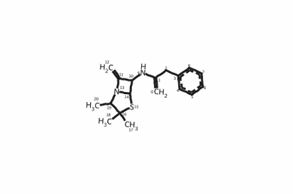 C=C(Cc1ccccc1)NC1C(=C)N2C1SC(C)(C)C2C